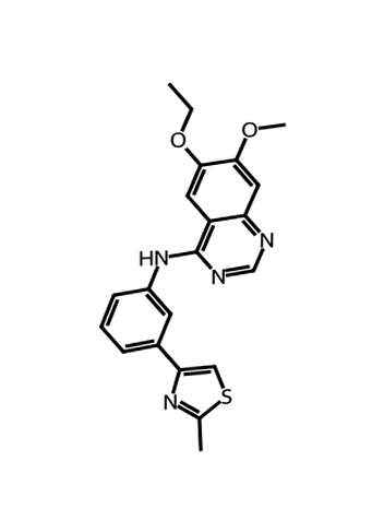 CCOc1cc2c(Nc3cccc(-c4csc(C)n4)c3)ncnc2cc1OC